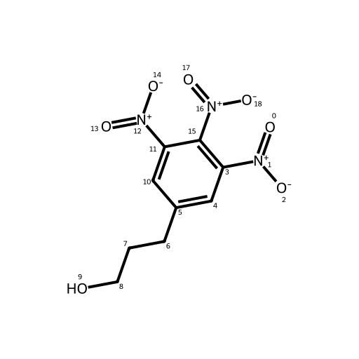 O=[N+]([O-])c1cc(CCCO)cc([N+](=O)[O-])c1[N+](=O)[O-]